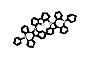 c1ccc(N2c3ccccc3-c3c(n(-c4cccc5c4oc4c(-n6c7c(c8ccccc86)-c6ccccc6N(c6ccccc6)c6ccccc6-7)cccc45)c4ccccc34)-c3ccccc32)cc1